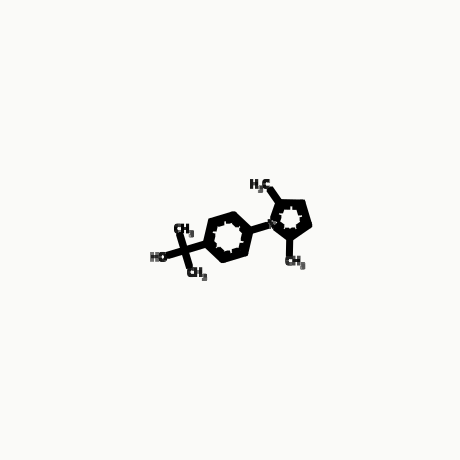 Cc1ccc(C)n1-c1ccc(C(C)(C)O)cc1